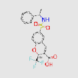 CC(NS(=O)(=O)c1ccc2c(c1)C=C(C(=O)O)[C@@H](C(F)(F)F)O2)c1ccccc1